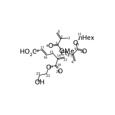 C=C(C)C(=O)OC.C=C(CC)C(=O)OCCCCCC.C=C(CC=CC(=O)O)C(=O)OCCO